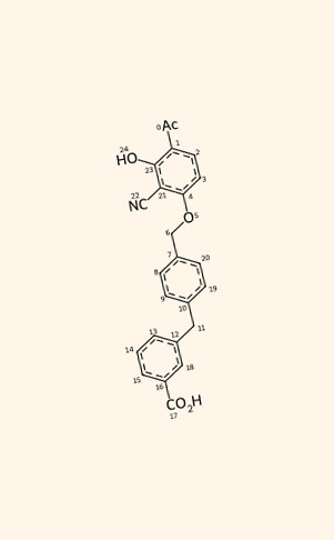 CC(=O)c1ccc(OCc2ccc(Cc3cccc(C(=O)O)c3)cc2)c(C#N)c1O